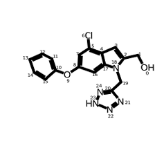 OCc1cc2c(Cl)cc(Oc3ccccc3)cc2n1Cc1nn[nH]n1